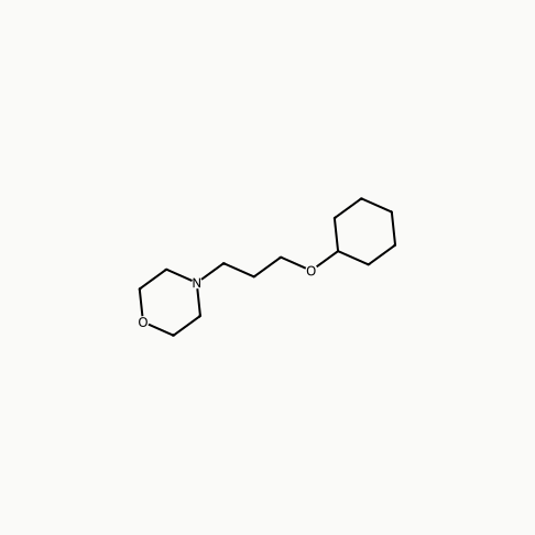 C1CCC(OCCCN2CCOCC2)CC1